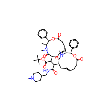 C[C@H]1[C@@H](c2ccccc2)OC(=O)CC/C=C/C[C@@H](C(C(=O)NCC2CCN(C)CC2)C(C(=O)OC(C)(C)C)[C@@H]2C/C=C/CCC(=O)O[C@H](c3ccccc3)[C@H](C)N(C)C2=O)C(=O)N1C